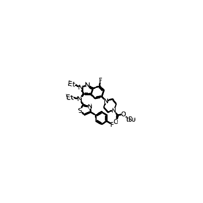 CCN(c1nc(-c2ccc(F)cc2)cs1)c1c2cc(N3CCN(C(=O)OC(C)(C)C)CC3)cc(F)c2nn1CC